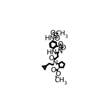 CCOC(=O)[C@@H]1CCC[C@@H]1N(CCC1CC1)C(=O)CC1=NS(=O)(=O)c2cc(NS(C)(=O)=O)ccc2N1